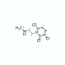 CNCCc1c(Cl)ccc(Cl)c1Cl